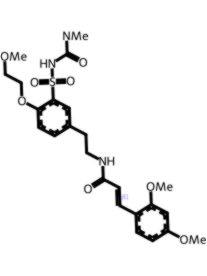 CNC(=O)NS(=O)(=O)c1cc(CCNC(=O)/C=C/c2ccc(OC)cc2OC)ccc1OCCOC